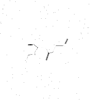 C=NCCC(=C)C[C@@H](C=O)NCO